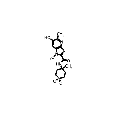 Cc1nc2nc(C(=O)NC3(C)CCS(=O)(=O)CC3)n(C)c2cc1O